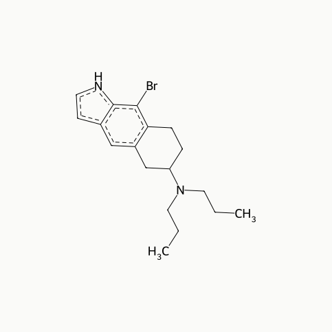 CCCN(CCC)C1CCc2c(cc3cc[nH]c3c2Br)C1